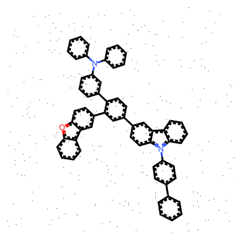 c1ccc(-c2ccc(-n3c4ccccc4c4cc(-c5ccc(-c6cccc(N(c7ccccc7)c7ccccc7)c6)c(-c6ccc7oc8ccccc8c7c6)c5)ccc43)cc2)cc1